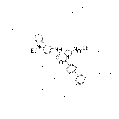 CCON=C1C[C@@H](C(=O)Nc2ccc3c(c2)c2ccccc2n3CC)N(C(=O)c2ccc(-c3ccccc3)cc2)C1